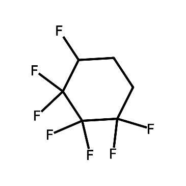 FC1CCC(F)(F)C(F)(F)C1(F)F